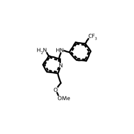 COOCc1ccc(N)c(Nc2cccc(C(F)(F)F)c2)n1